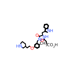 Cc1ccc(OCCC2CCCNC2)cc1CNC(=O)C(Cc1c[nH]c2ccccc12)NC(=O)CCC(=O)O